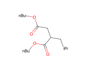 CCCCOC(=O)CC(CC(C)C)C(=O)OCCCC